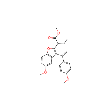 C=C(c1ccc(OC)cc1)c1c(C(CC)C(=O)OC)oc2ccc(OC)cc12